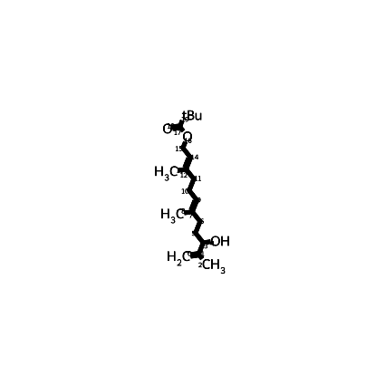 C=C(C)C(O)CC/C(C)=C/CC/C(C)=C/COC(=O)C(C)(C)C